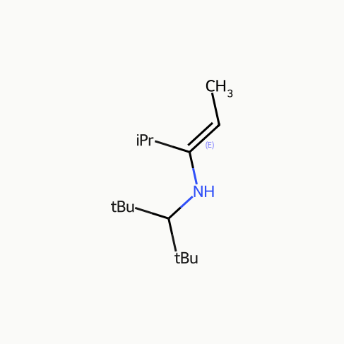 C/C=C(/NC(C(C)(C)C)C(C)(C)C)C(C)C